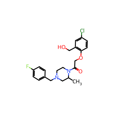 CC1CN(Cc2ccc(F)cc2)CCN1C(=O)COc1ccc(Cl)cc1CO